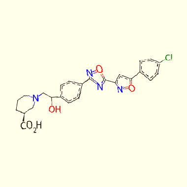 O=C(O)[C@H]1CCCN(CC(O)c2ccc(-c3noc(-c4cc(-c5ccc(Cl)cc5)on4)n3)cc2)C1